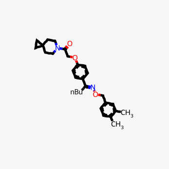 CCCCC(=NOCc1ccc(C)c(C)c1)c1ccc(OCC(=O)N2CCC3(CC2)CC3)cc1